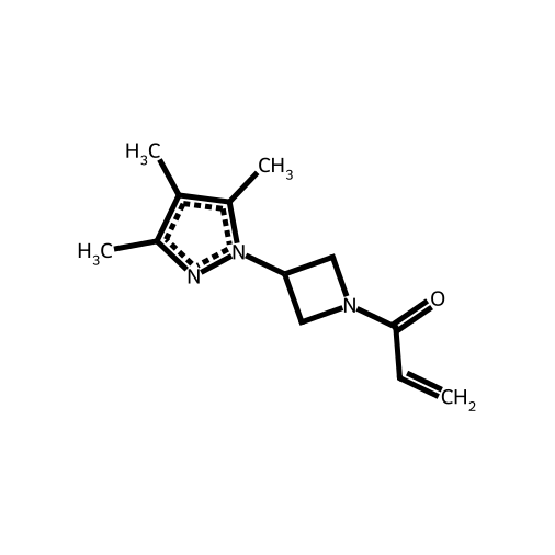 C=CC(=O)N1CC(n2nc(C)c(C)c2C)C1